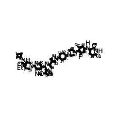 CCC1(C(=O)NC2CCC2)CCN(c2ccc(-c3nc(-c4cnn([C@H]5CC[C@H](N6CCN(c7c(F)cc(NC8CCC(=O)NC8=O)cc7F)CC6)CC5)c4)cn4ncc(C#N)c34)cn2)CC1